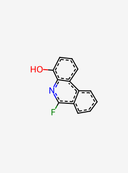 Oc1cccc2c1nc(F)c1ccccc12